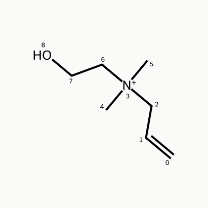 C=CC[N+](C)(C)CCO